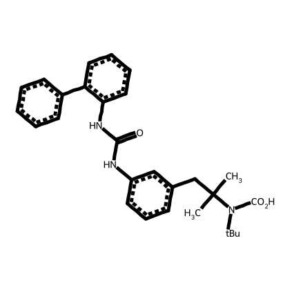 CC(C)(C)N(C(=O)O)C(C)(C)Cc1cccc(NC(=O)Nc2ccccc2-c2ccccc2)c1